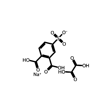 O=C(O)C(=O)O.O=C(O)c1ccc(S(=O)(=O)[O-])cc1C(=O)O.[Na+]